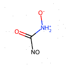 O=NC(=O)[NH2+][O-]